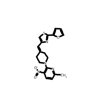 Cc1ccc([N+](=O)[O-])c(N2CCC(=Cc3csc(-c4ccco4)n3)CC2)n1